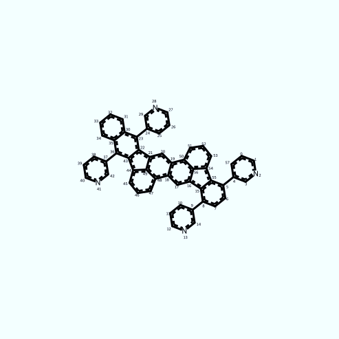 c1cncc(-c2ccc(-c3cccnc3)c3c4cc5c(cc6c7c(-c8cccnc8)c8ccccc8c(-c8cccnc8)c7c7cccc5c76)c5cccc(c23)c54)c1